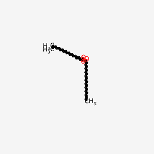 CCCCCCCCCCCCCCCCCCCCCC(=O)OC(=O)CCCCCCCCCCCCCCCCC(C)C